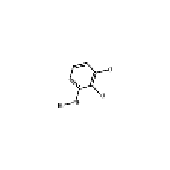 CCNc1cccc(Cl)c1Cl